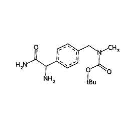 CN(Cc1ccc(C(N)C(N)=O)cc1)C(=O)OC(C)(C)C